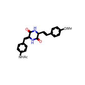 COc1ccc(C=CC2NC(=O)C(=Cc3ccc(NC(C)=O)cc3)NC2=O)cc1